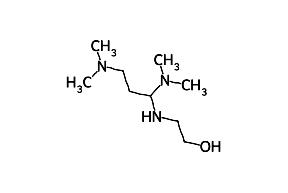 CN(C)CCC(NCCO)N(C)C